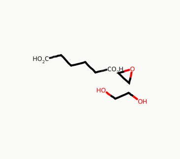 C1CO1.O=C(O)CCCCC(=O)O.OCCO